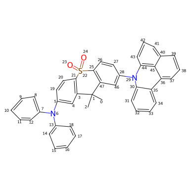 CC1(C)c2cc(N(c3ccccc3)c3ccccc3)ccc2S(=O)(=O)c2ccc(N3c4ccccc4-c4cccc5cccc3c45)cc21